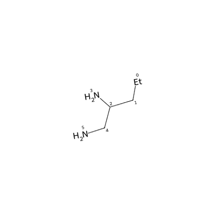 [CH2]CCC(N)CN